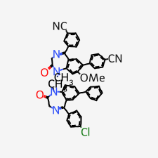 CN1C(=O)CN=C(c2ccc(Cl)cc2)c2cc(-c3ccccc3)ccc21.COc1cc2c(cc1-c1ccc(C#N)cc1)C(c1cccc(C#N)c1)=NCC(=O)N2C